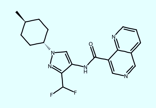 C[C@H]1CC[C@H](n2cc(NC(=O)c3cncc4cccnc34)c(C(F)F)n2)CC1